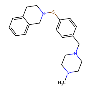 CN1CCN(Cc2ccc(SN3CCc4ccccc4C3)cc2)CC1